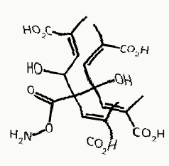 CC(=CC(O)C(C=C(C)C(=O)O)(C(=O)ON)C(O)(C=C(C)C(=O)O)C=C(C)C(=O)O)C(=O)O